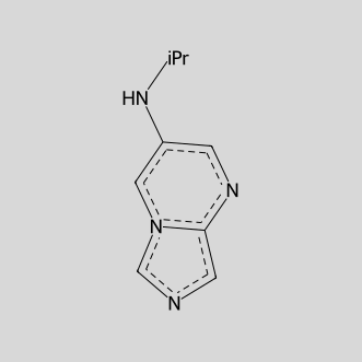 CC(C)Nc1cnc2cncn2c1